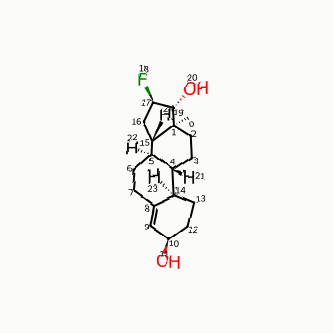 C[C@]12CC[C@H]3[C@@H](CCC4=C[C@H](O)CC[C@@H]43)[C@@H]1C[C@@H](F)[C@@H]2O